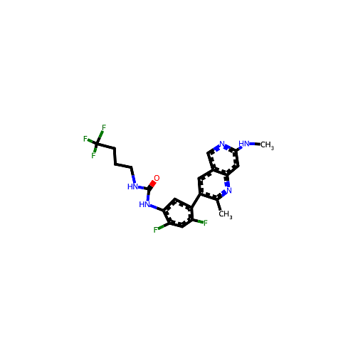 CNc1cc2nc(C)c(-c3cc(NC(=O)NCCCC(F)(F)F)c(F)cc3F)cc2cn1